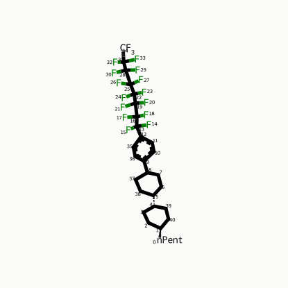 CCCCC[C@H]1CC[C@H](C2CCC(c3ccc(C(F)(F)C(F)(F)C(F)(F)C(F)(F)C(F)(F)C(F)(F)C(F)(F)C(F)(F)F)cc3)CC2)CC1